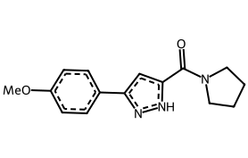 COc1ccc(-c2cc(C(=O)N3CCCC3)[nH]n2)cc1